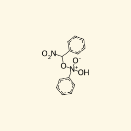 O=[N+]([O-])C(O[N+]([O-])(O)c1ccccc1)c1ccccc1